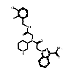 NC(=O)c1nn(CC(=O)N(CC(=O)NCc2cccc(Cl)c2F)C2CCCNC2)c2ccccc12